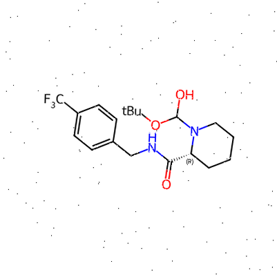 CC(C)(C)OC(O)N1CCCC[C@@H]1C(=O)NCc1ccc(C(F)(F)F)cc1